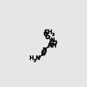 COc1ccc(-c2cc(NCCCN3CCN(CCCN)CC3)c3ccccc3n2)cc1